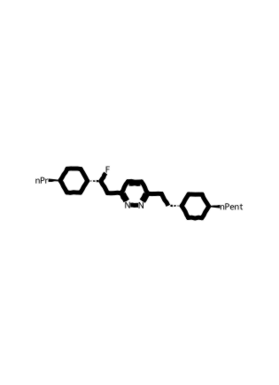 CCCCC[C@H]1CC[C@H](CCc2ccc(CC(F)[C@H]3CC[C@H](CCC)CC3)nn2)CC1